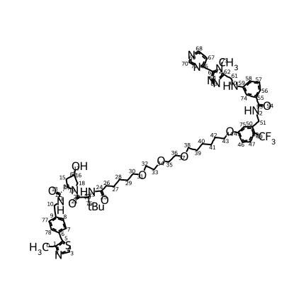 Cc1ncsc1-c1ccc(CNC(=O)[C@@H]2C[C@@H](O)CN2C(=O)[C@@H](NC(=O)CCCCCOCCOCCOCCCCCCOc2ccc(C(F)(F)F)c(CNC(=O)c3cccc(NCc4nnc(-c5ccncn5)n4C)c3)c2)C(C)(C)C)cc1